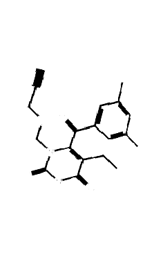 C#CCOCn1c(C(=O)c2cc(C)cc(C)c2)c(CC)c(=O)[nH]c1=O